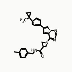 Cc1ccc(CNC(=O)C2CN(c3ncnn4cc(-c5ccc(C6(C(F)(F)F)CC6)cc5)cc34)C2)cc1